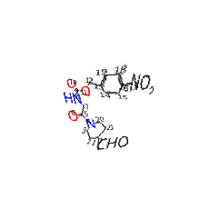 O=CC1CCN(C(=O)CNC(=O)OCc2ccc([N+](=O)[O-])cc2)CC1